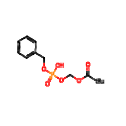 CC(C)(C)C(=O)OCOP(=O)(O)OCc1ccccc1